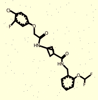 O=C(COc1ccc(Cl)c(F)c1)NC12CC(C(=O)NCc3ccccc3OC(F)F)(C1)C2